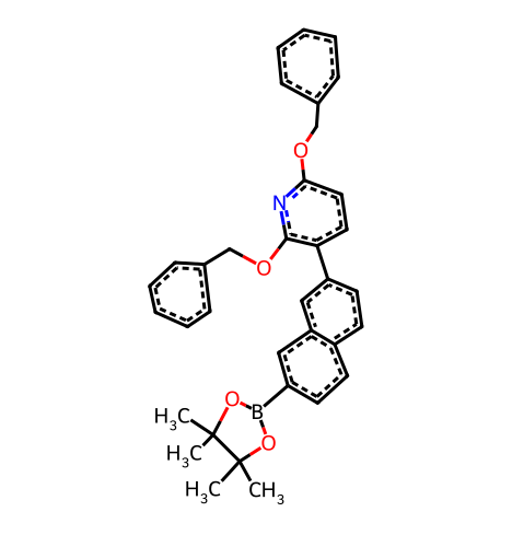 CC1(C)OB(c2ccc3ccc(-c4ccc(OCc5ccccc5)nc4OCc4ccccc4)cc3c2)OC1(C)C